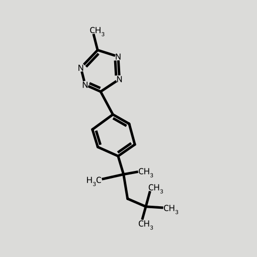 Cc1nnc(-c2ccc(C(C)(C)CC(C)(C)C)cc2)nn1